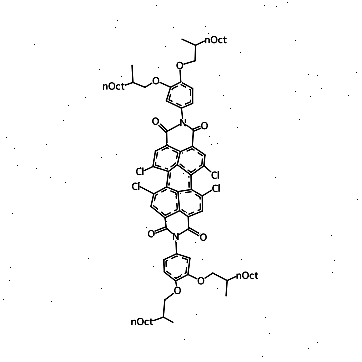 CCCCCCCCC(C)COc1ccc(N2C(=O)c3cc(Cl)c4c5c(Cl)cc6c7c(cc(Cl)c(c8c(Cl)cc(c3c48)C2=O)c75)C(=O)N(c2ccc(OCC(C)CCCCCCCC)c(OCC(C)CCCCCCCC)c2)C6=O)cc1OCC(C)CCCCCCCC